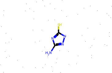 NC1=N[N]C(S)=N1